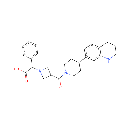 O=C(O)C(c1ccccc1)N1CC(C(=O)N2CCC(c3ccc4c(c3)NCCC4)CC2)C1